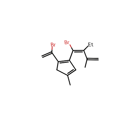 C=C(C)C(CC)=C(Br)C1=C(C(=C)Br)CC(C)=C1